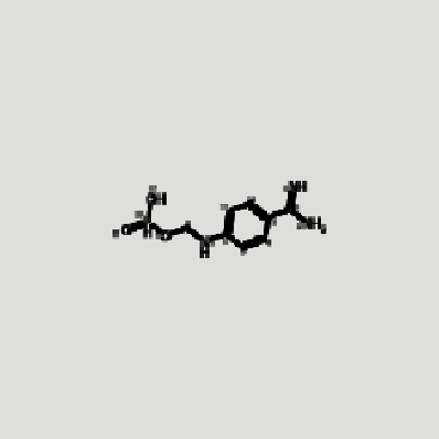 N=C(N)c1ccc(NCO[PH](=O)O)cc1